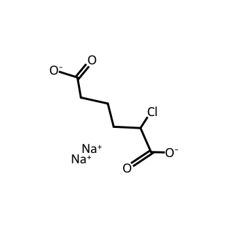 O=C([O-])CCCC(Cl)C(=O)[O-].[Na+].[Na+]